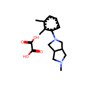 Cc1cccc(N2CC3CN(C)CC3C2)c1C.O=C(O)C(=O)O